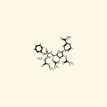 COC(=O)[C@H](C)NP(=O)(OC[C@H]1O[C@@H](N2C=CCC(C(=O)O)=C2)[C@H](OC(C)=O)[C@@H]1OC(C)=O)Oc1ccccc1